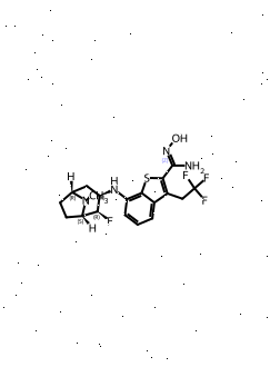 CN1[C@@H]2CC[C@H]1[C@H](F)[C@H](Nc1cccc3c(CC(F)(F)F)c(/C(N)=N/O)sc13)C2